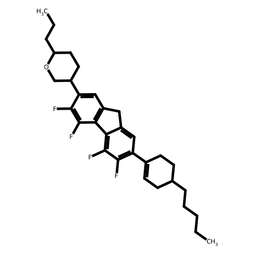 CCCCCC1CC=C(c2cc3c(c(F)c2F)-c2c(cc(C4CCC(CCC)OC4)c(F)c2F)C3)CC1